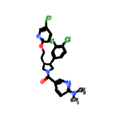 CN(C)c1ccc(C(=O)N2C[C@@H](CCOc3ccc(Cl)cn3)[C@@H](c3ccc(Cl)c(Cl)c3)C2)cn1